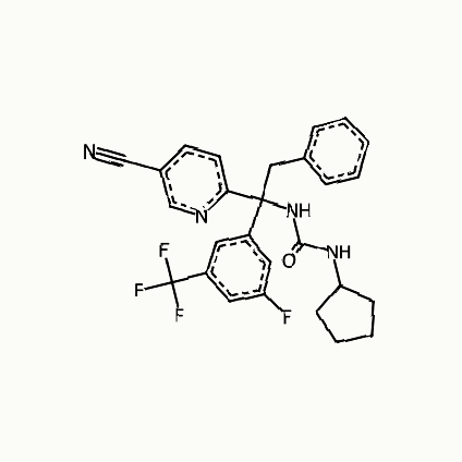 N#Cc1ccc(C(Cc2ccccc2)(NC(=O)NC2CCCC2)c2cc(F)cc(C(F)(F)F)c2)nc1